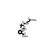 COC(=O)CCNC(=O)[C@@H]1O[P@](=O)(Oc2ccccc2C(=O)OC)OCC1(C)C